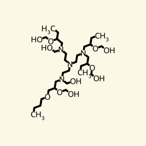 CCCCOCC(CN(CO)CCN(CCN(CO)CC(CC)OCO)CCN(CC(CC)OCO)CC(CC)OCO)OCO